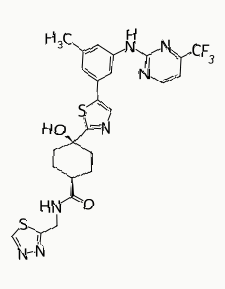 Cc1cc(Nc2nccc(C(F)(F)F)n2)cc(-c2cnc([C@]3(O)CC[C@@H](C(=O)NCc4nncs4)CC3)s2)c1